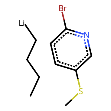 CSc1ccc(Br)nc1.[Li][CH2]CCC